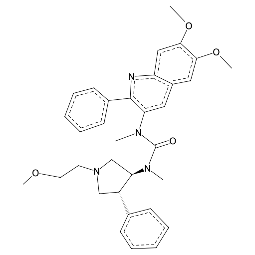 COCCN1C[C@@H](N(C)C(=O)N(C)c2cc3cc(OC)c(OC)cc3nc2-c2ccccc2)[C@H](c2ccccc2)C1